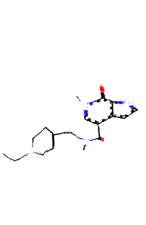 CCN1CCC(CN(C)C(=O)c2cn(C)c(=O)c3[nH]ccc23)CC1